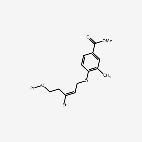 CCC(=CCOc1ccc(C(=O)OC)cc1C)CCOC(C)C